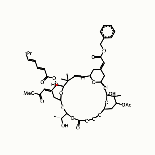 CCC/C=C/C=C/C(=O)O[C@H]1/C(=C/C(=O)OC)CC2CC([C@@H](C)O)OC(=O)CCCC3CC(OC(C)=O)C(C)(C)[C@](O)(C[C@@H]4C/C(=C/C(=O)OCc5ccccc5)C[C@H](/C=C/C(C)(C)C1(O)O2)O4)O3